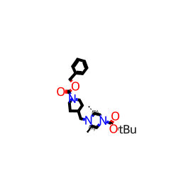 C[C@@H]1CN(C(=O)OC(C)(C)C)C[C@@H](C)N1CC1CCN(C(=O)OCc2ccccc2)CC1